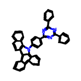 c1ccc(-c2nc(-c3ccccc3)nc(-c3ccc(-n4c5c6ccccc6ccc5c5c6ccccc6c6ccccc6c54)cc3)n2)cc1